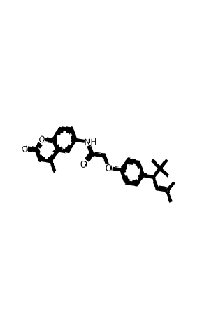 CC(C)=CC(c1ccc(OCC(=O)Nc2ccc3oc(=O)cc(C)c3c2)cc1)C(C)(C)C